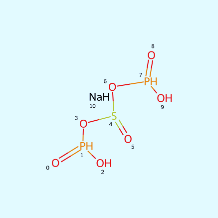 O=[PH](O)OS(=O)O[PH](=O)O.[NaH]